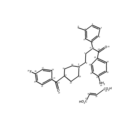 Cc1cccc(N(CCN2CCC(C(=O)c3ccc(F)cc3)CC2)C(=O)c2ccc(N)cc2)c1.O=C(O)/C=C/C(=O)O